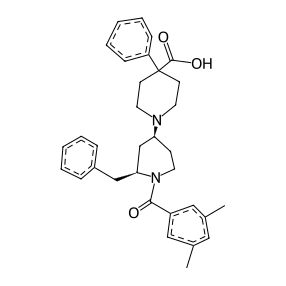 Cc1cc(C)cc(C(=O)N2CC[C@H](N3CCC(C(=O)O)(c4ccccc4)CC3)C[C@@H]2Cc2ccccc2)c1